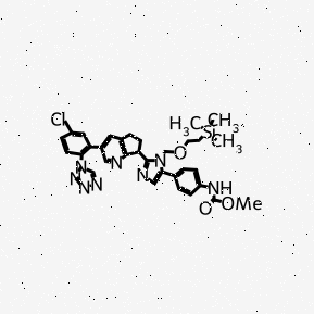 COC(=O)Nc1ccc(-c2cnc(C3CCc4cc(-c5cc(Cl)ccc5-n5cnnn5)cnc43)n2COCC[Si](C)(C)C)cc1